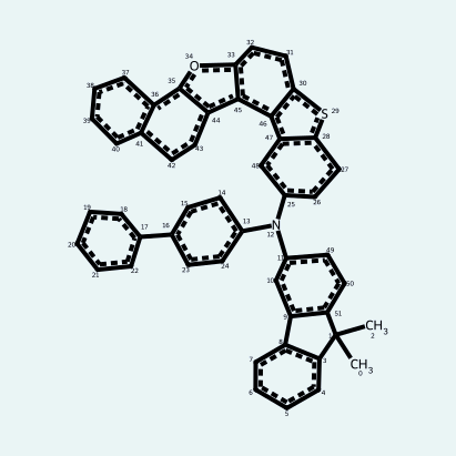 CC1(C)c2ccccc2-c2cc(N(c3ccc(-c4ccccc4)cc3)c3ccc4sc5ccc6oc7c8ccccc8ccc7c6c5c4c3)ccc21